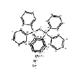 [Br-].[Br-].[Mn+2].c1ccc([PH](O[PH](c2ccccc2)(c2ccccc2)c2ccccc2)(c2ccccc2)c2ccccc2)cc1